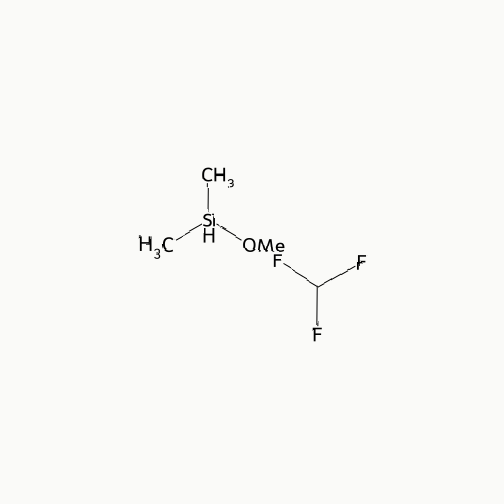 CO[SiH](C)C.FC(F)F